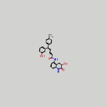 O=C(/C=C/C=C(/c1ccc(C(F)(F)F)cc1)c1cccc(O)c1)Nc1cccc2c1CC(O)C(=O)N2